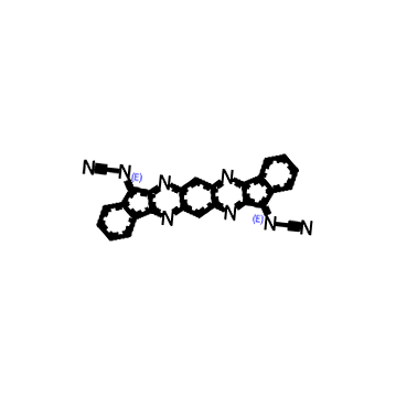 N#C/N=c1\c2ccccc2c2nc3cc4nc5/c(=N/C#N)c6ccccc6c5nc4cc3nc12